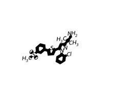 CC(C)(CN)c1cc(-c2ccc(-c3cccc(S(C)(=O)=O)c3)s2)n(-c2ccccc2Cl)n1